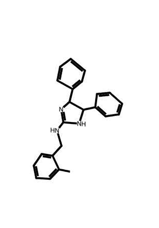 Cc1ccccc1CNC1=NC(c2ccccc2)C(c2ccccc2)N1